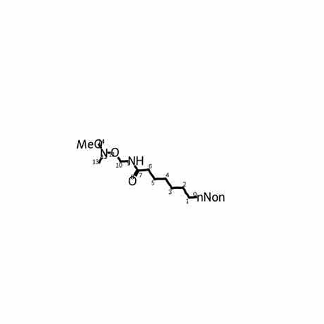 CCCCCCCCCCCCCCCC(=O)NCON(C)OC